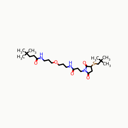 CC(C)(C)CCC(=O)NCCCOCCCNC(=O)CCN1C(=O)CC(SCC(C)(C)C)C1=O